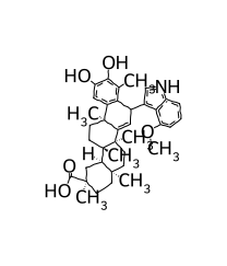 COc1cccc2[nH]cc(C3C=C4[C@@](C)(CC[C@@]5(C)[C@@H]6C[C@](C)(C(=O)O)CC[C@]6(C)CC[C@]45C)c4cc(O)c(O)c(C)c43)c12